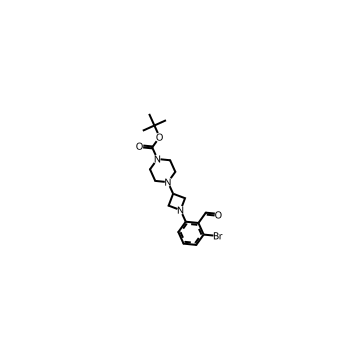 CC(C)(C)OC(=O)N1CCN(C2CN(c3cccc(Br)c3C=O)C2)CC1